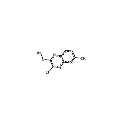 CCc1nc2cc(C(F)(F)F)ccc2nc1OC(C)C